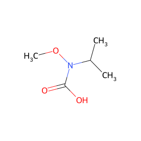 CON(C(=O)O)C(C)C